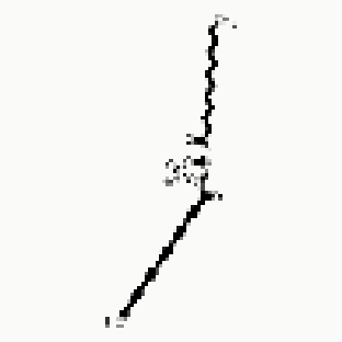 C#CC#CC#CC#CC#CC#CC(=O)OC[C@H](OC(=O)CCCCCCCCCCC)OP(=O)(O)O